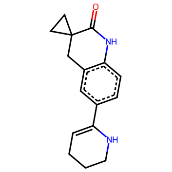 O=C1Nc2ccc(C3=CCCCN3)cc2CC12CC2